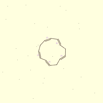 [C]1=C/C=C\C/C=C\C=C\C/C=C/C/1